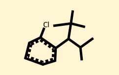 CC(C)C(c1ccccc1Cl)C(C)(C)C